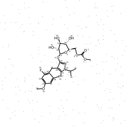 COC(=O)OC[C@H]1O[C@@H](Oc2nn(C(C)C)c(C)c2Cc2c(F)cc(OC)cc2F)[C@H](O)[C@@H](O)[C@@H]1O